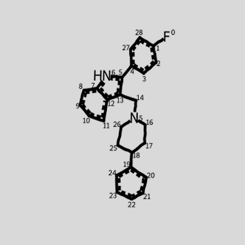 Fc1ccc(-c2[nH]c3ccccc3c2CN2CCC(c3ccccc3)CC2)cc1